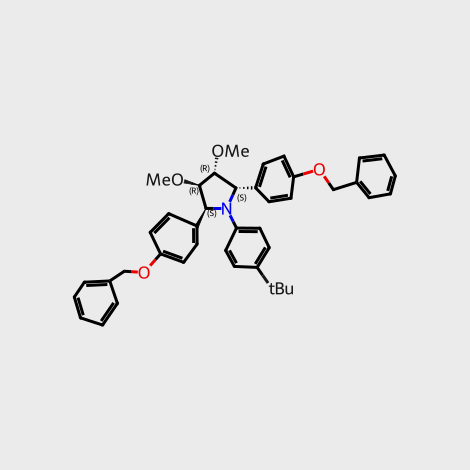 CO[C@H]1[C@H](OC)[C@H](c2ccc(OCc3ccccc3)cc2)N(c2ccc(C(C)(C)C)cc2)[C@H]1c1ccc(OCc2ccccc2)cc1